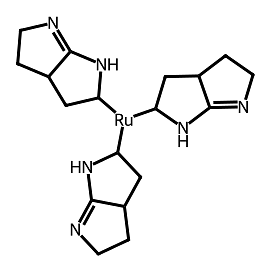 C1CC2C[CH]([Ru]([CH]3CC4CCN=C4N3)[CH]3CC4CCN=C4N3)NC2=N1